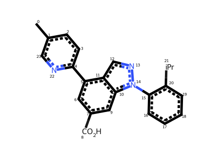 Cc1ccc(-c2cc(C(=O)O)cc3c2cnn3-c2ccccc2C(C)C)nc1